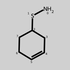 NSC1CC=CCC1